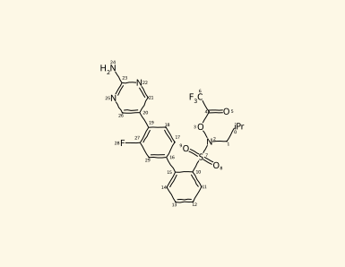 CC(C)CN(OC(=O)C(F)(F)F)S(=O)(=O)c1ccccc1-c1ccc(-c2cnc(N)nc2)c(F)c1